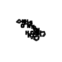 CC(C)(C)[Si](OC1CN(c2nc(C(=O)NC3CCC3)cs2)C1)(c1ccccc1)c1ccccc1